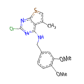 COc1ccc(CNc2nc(Cl)nc3scc(C)c23)cc1OC